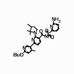 Cc1cc(OCC(C)C)ncc1-c1ccc(C(=O)NS(=O)(=O)c2cccc(N)n2)c(N2CCC(C)C2(C)C)n1